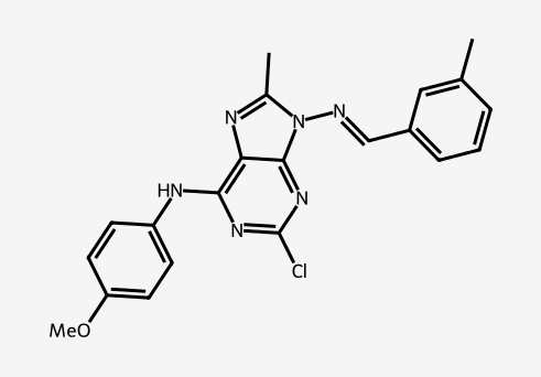 COc1ccc(Nc2nc(Cl)nc3c2nc(C)n3N=Cc2cccc(C)c2)cc1